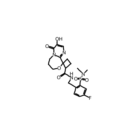 CN(C)S(=O)(=O)c1cc(F)ccc1CNC(=O)C1CCC12OCCCn1c2ncc(O)c1=O